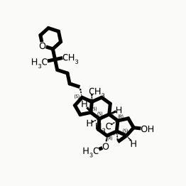 CO[C@@H]1C[C@H]2[C@@H]3CC[C@H](CCCCC(C)(C)C4CCCCO4)[C@@]3(C)CC[C@@H]2[C@@]2(C)CC(O)[C@H]3C[C@]312